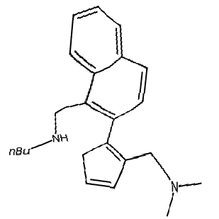 CCCCNCc1c(C2=C(CN(C)C)C=CC2)ccc2ccccc12